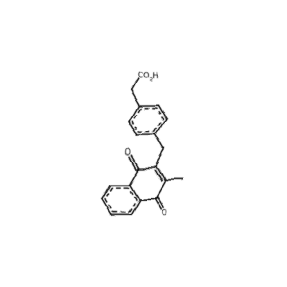 CC1=C(Cc2ccc(CC(=O)O)cc2)C(=O)c2ccccc2C1=O